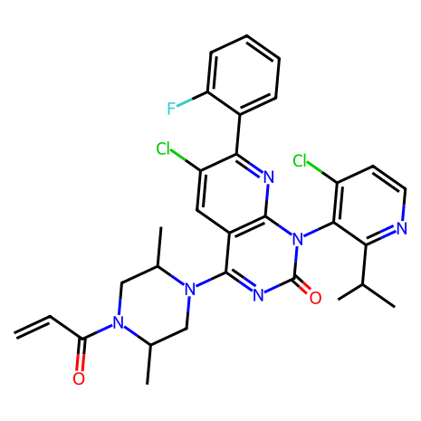 C=CC(=O)N1CC(C)N(c2nc(=O)n(-c3c(Cl)ccnc3C(C)C)c3nc(-c4ccccc4F)c(Cl)cc23)CC1C